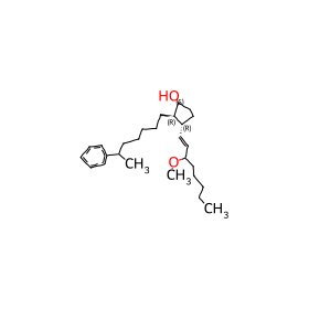 CCCCCC(C=C[C@H]1CC[C@H](O)[C@@H]1CCCCCC(C)c1ccccc1)OC